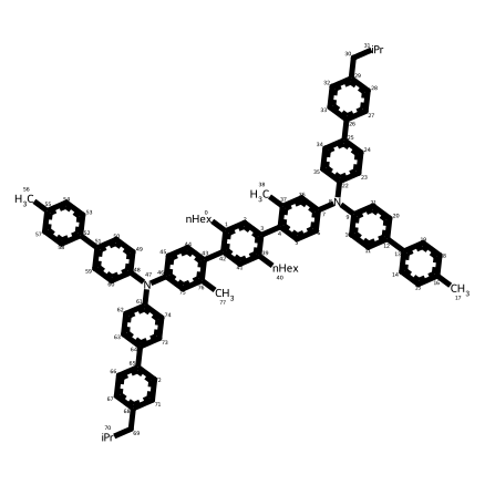 CCCCCCc1cc(-c2ccc(N(c3ccc(-c4ccc(C)cc4)cc3)c3ccc(-c4ccc(CC(C)C)cc4)cc3)cc2C)c(CCCCCC)cc1-c1ccc(N(c2ccc(-c3ccc(C)cc3)cc2)c2ccc(-c3ccc(CC(C)C)cc3)cc2)cc1C